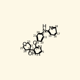 OC1(c2cccnc2Oc2ccc(Nc3ccccn3)cc2)CCOCC1